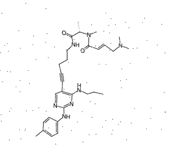 CCCNc1nc(Nc2ccc(C)cc2)ncc1C#CCCCNC(=O)[C@H](C)N(C)C(=O)/C=C/CN(C)C